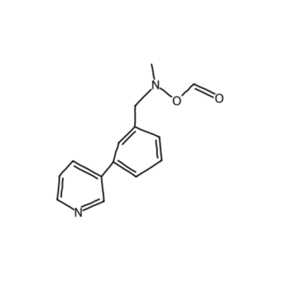 CN(Cc1cccc(-c2cccnc2)c1)OC=O